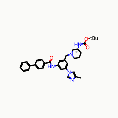 Cc1cn(-c2cc(CN3CCC[C@H](NC(=O)OC(C)(C)C)C3)cc(NC(=O)c3ccc(-c4ccccc4)cc3)c2)cn1